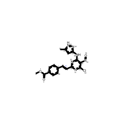 COC(=O)c1ccc(/C=C/c2nc(Cl)c(N=O)c(Nc3cc(C)[nH]n3)n2)cc1